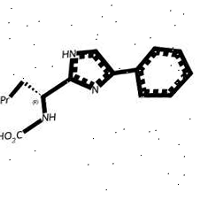 CC(C)C[C@@H](NC(=O)O)c1nc(-c2ccccc2)c[nH]1